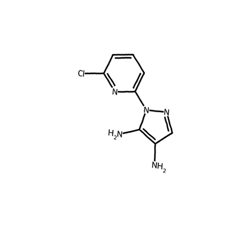 Nc1cnn(-c2cccc(Cl)n2)c1N